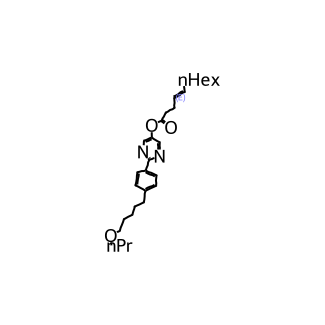 CCCCCC/C=C/CCC(=O)Oc1cnc(-c2ccc(CCCCCOCCC)cc2)nc1